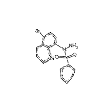 NN(c1ccc(Br)c2cccnc12)S(=O)(=O)c1ccccc1